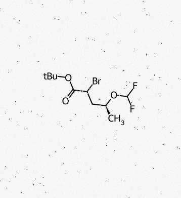 C[C@@H](CC(Br)C(=O)OC(C)(C)C)OC(F)F